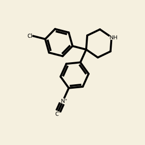 [C-]#[N+]c1ccc(C2(c3ccc(Cl)cc3)CCNCC2)cc1